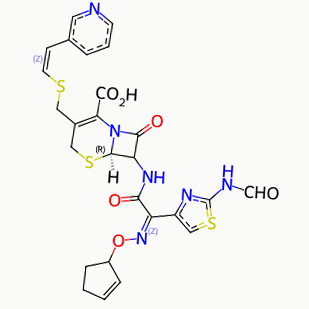 O=CNc1nc(/C(=N/OC2C=CCC2)C(=O)NC2C(=O)N3C(C(=O)O)=C(CS/C=C\c4cccnc4)CS[C@H]23)cs1